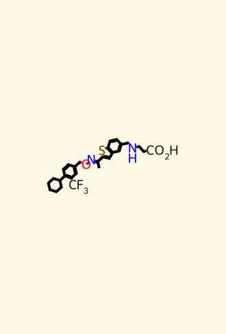 C/C(=N\OCc1ccc(C2CCCCC2)c(C(F)(F)F)c1)c1cc2cc(CNCCC(=O)O)ccc2s1